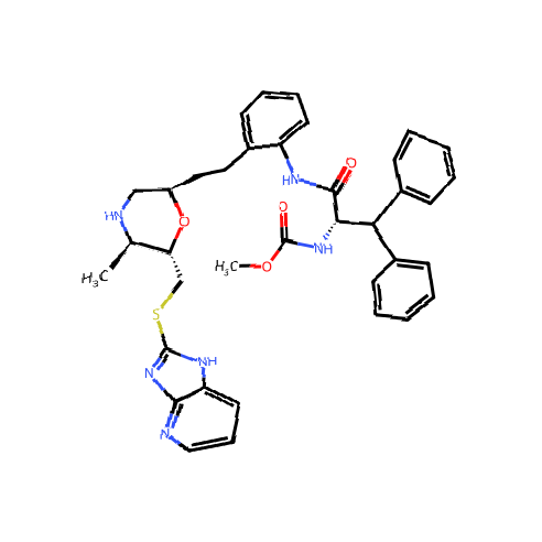 COC(=O)N[C@H](C(=O)Nc1ccccc1CC[C@@H]1CN[C@H](C)[C@@H](CSc2nc3ncccc3[nH]2)O1)C(c1ccccc1)c1ccccc1